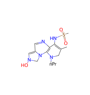 CCCN1CC(C)=C(NS(C)(=O)=O)C2=C1N1CN(O)C=C1C=N2